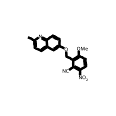 COc1ccc([N+](=O)[O-])c(C#N)c1COc1ccc2nc(C)ccc2c1